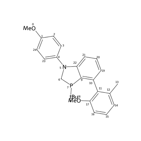 COc1ccc(N2CP(C(C)(C)C)c3c(-c4c(C)cccc4OC)cccc32)cc1